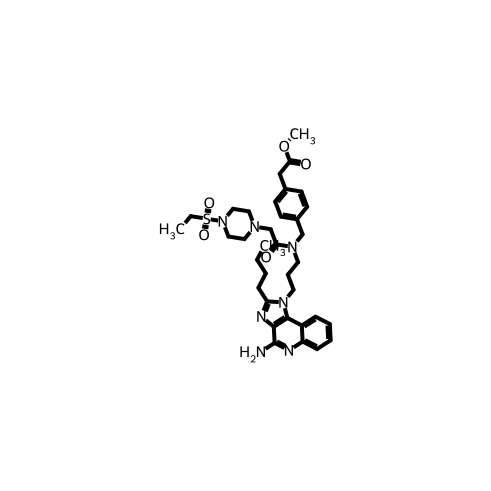 CCCCc1nc2c(N)nc3ccccc3c2n1CCCN(Cc1ccc(CC(=O)OC)cc1)C(=O)CN1CCN(S(=O)(=O)CC)CC1